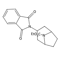 CCOC(=O)N1C2CCC1CC(N1C(=O)c3ccccc3C1=O)C2